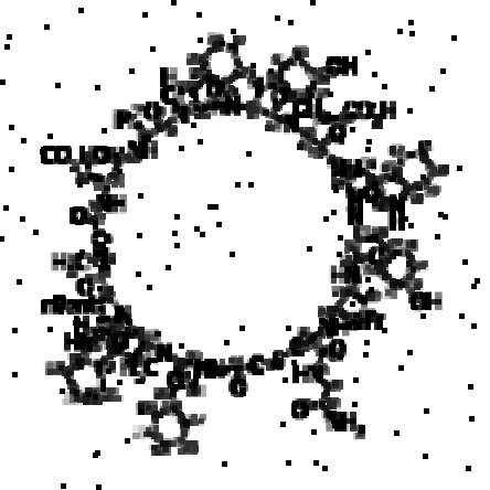 CCCCC[C@H]1C(=O)N(C)CC(=O)N[C@@H](CC(=O)O)C(=O)N[C@@H](C(C)C)C(=O)N(C)[C@@H](Cc2ccccc2)C(=O)N[C@@H](Cc2ccc(O)cc2)C(=O)N(C)[C@H](CCC(=O)O)C(=O)N[C@@H](Cc2c[nH]c3ccccc23)C(=O)N[C@@H](Cc2ccc(O)cc2)C(=O)N[C@@H](CC(C)C)C(=O)N[C@H](C(=O)NCC(N)=O)CSCC(=O)N[C@@H](CCc2ccccc2)C(=O)N(C)[C@@H](Cc2c[nH]c3ccccc23)C(=O)N1C